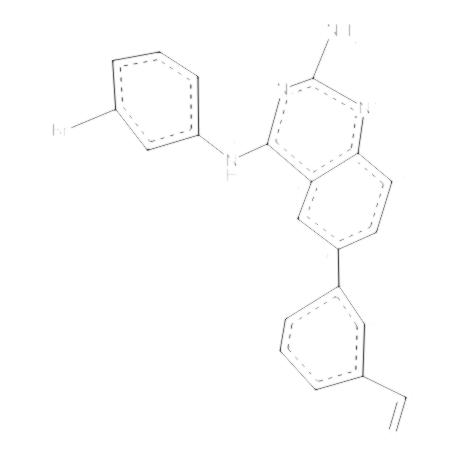 Nc1nc(Nc2cccc(Br)c2)c2cc(-c3cccc(C=O)c3)ccc2n1